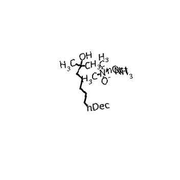 CCCCCCCCCCCCCCCC(C)(C)O.CCCCCCCC[N+](C)(C)[O-].N